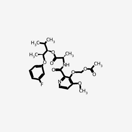 COc1ccnc(C(=O)N[C@@H](C)C(=O)O[C@H](C(C)C)[C@H](C)Oc2cccc(F)c2)c1OCOC(C)=O